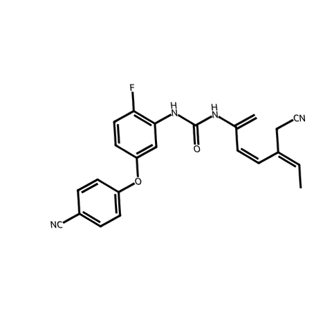 C=C(/C=C\C(=C/C)CC#N)NC(=O)Nc1cc(Oc2ccc(C#N)cc2)ccc1F